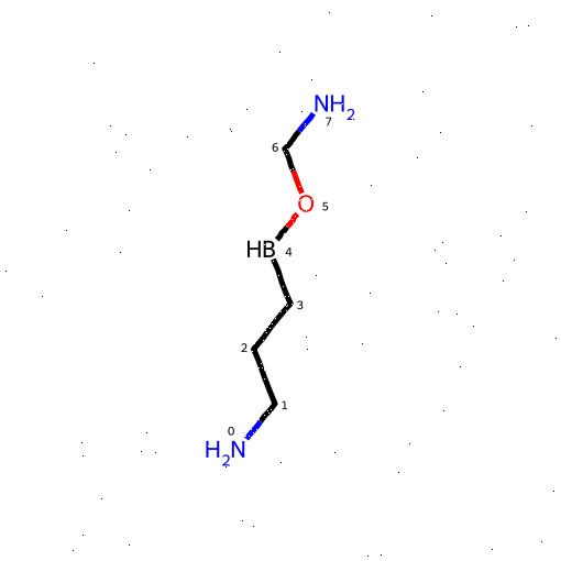 NCCCBOCN